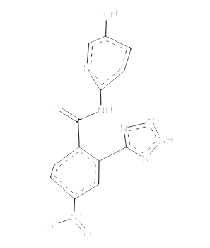 Cc1ccc(NC(=O)c2ccc([N+](=O)[O-])cc2-c2nn[nH]n2)nc1